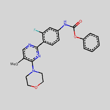 COc1cnc(-c2ccc(NC(=O)Oc3ccccc3)cc2F)nc1N1CCOCC1